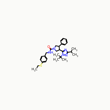 CCSc1ccc(CNC(=O)N2CC(c3ccccc3)C(c3nc(C(C)C)nn3C(C)(C)C)C2)cc1